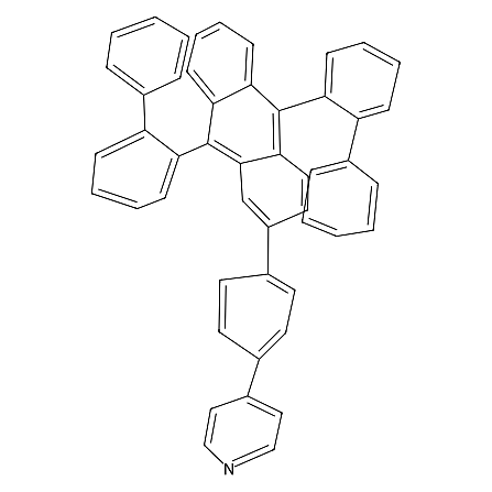 c1ccc(-c2ccccc2-c2c3ccccc3c(-c3ccccc3-c3ccccc3)c3cc(-c4ccc(-c5ccncc5)cc4)ccc23)cc1